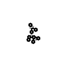 c1ccc(-c2nc3ccccc3nc2-c2ccc(-n3c4ccc5ccccc5c4c4c5c6ccccc6n6c7ccccc7c(cc43)c56)cc2)cc1